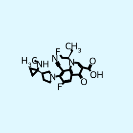 CC[C@H](CF)n1cc(C(=O)O)c(=O)c2cc(F)c(N3CC[C@@H](C4(NC)CC4)C3)c(C#N)c21